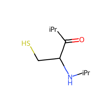 CC(C)NC(CS)C(=O)C(C)C